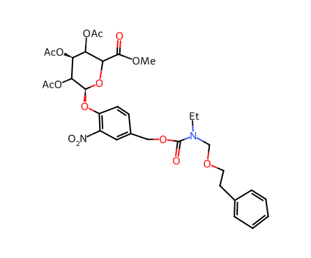 CCN(COCCc1ccccc1)C(=O)OCc1ccc(O[C@@H]2OC(C(=O)OC)C(OC(C)=O)[C@H](OC(C)=O)C2OC(C)=O)c([N+](=O)[O-])c1